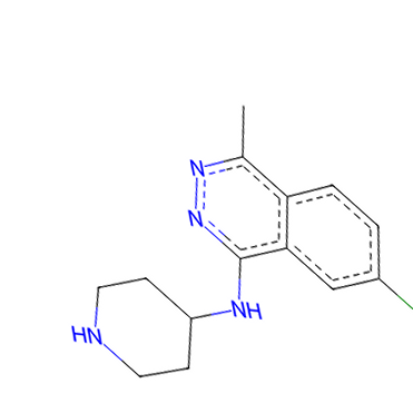 Cc1nnc(NC2CCNCC2)c2cc(Cl)ccc12